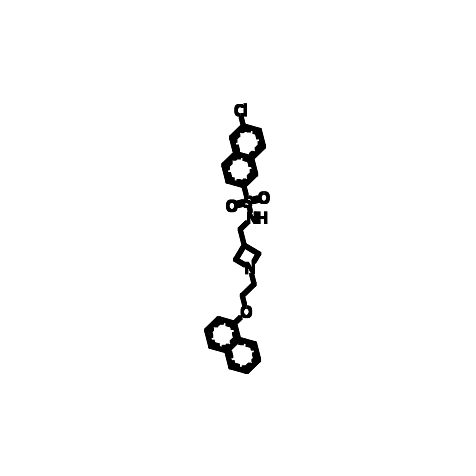 O=S(=O)(NCC1CN(CCOc2cccc3ccccc23)C1)c1ccc2cc(Cl)ccc2c1